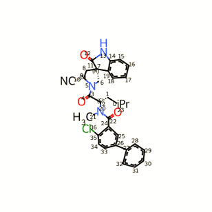 CC(C)C[C@@H](C(=O)N1C[C@]2(C[C@H]1C#N)C(=O)Nc1ccccc12)N(C)C(=O)c1cc(-c2ccccc2)ccc1Cl